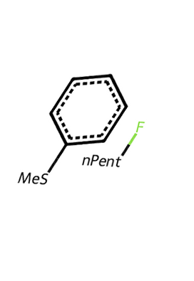 CCCCCF.CSc1ccccc1